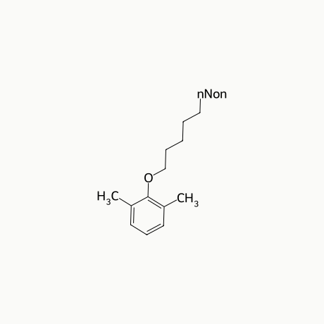 CCCCCCCCCCCCCCOc1c(C)cccc1C